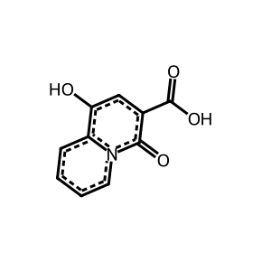 O=C(O)c1cc(O)c2ccccn2c1=O